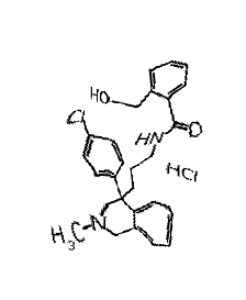 CN1Cc2ccccc2C(CCCNC(=O)c2ccccc2CO)(c2ccc(Cl)cc2)C1.Cl